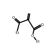 C=C(C(=O)CC)C(=O)OCC